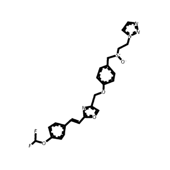 [O-][S+](CCn1ccnn1)Cc1ccc(OCc2coc(C=Cc3ccc(OC(F)F)cc3)n2)cc1